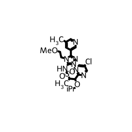 COCCn1c(NS(=O)(=O)C(C)C(OC(C)C)c2ncc(Cl)cn2)nnc1-c1cncc(C)c1